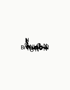 COc1cc(-c2noc(C)n2)ccc1-c1ccc(C(=O)Nc2cc(OCCN(C)C)c(Br)cn2)cn1